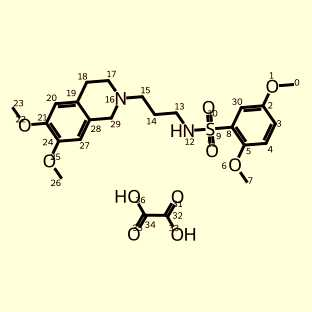 COc1ccc(OC)c(S(=O)(=O)NCCCN2CCc3cc(OC)c(OC)cc3C2)c1.O=C(O)C(=O)O